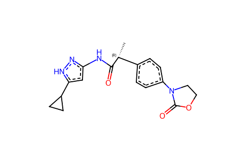 C[C@@H](C(=O)Nc1cc(C2CC2)[nH]n1)c1ccc(N2CCOC2=O)cc1